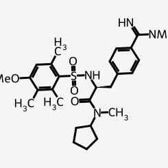 CNC(=N)c1ccc(C[C@H](NS(=O)(=O)c2c(C)cc(OC)c(C)c2C)C(=O)N(C)C2CCCC2)cc1